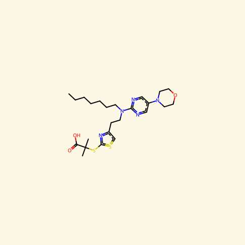 CCCCCCCN(CCc1csc(SC(C)(C)C(=O)O)n1)c1ncc(N2CCOCC2)cn1